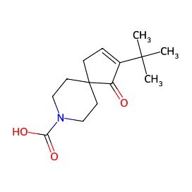 CC(C)(C)C1=CCC2(CCN(C(=O)O)CC2)C1=O